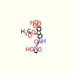 CC(=O)OCC1c2cc(NC(=O)CCN3C(=O)C=CC3O)ccc2-c2ccc(S(=O)(=O)O)cc21